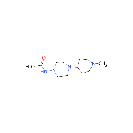 CC(=O)NN1CCN(C2CCN(C)CC2)CC1